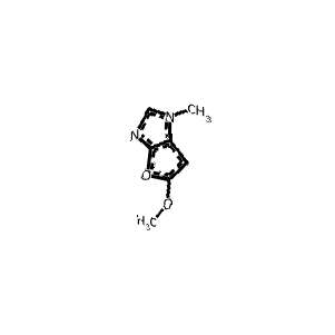 COc1cc2c(ncn2C)o1